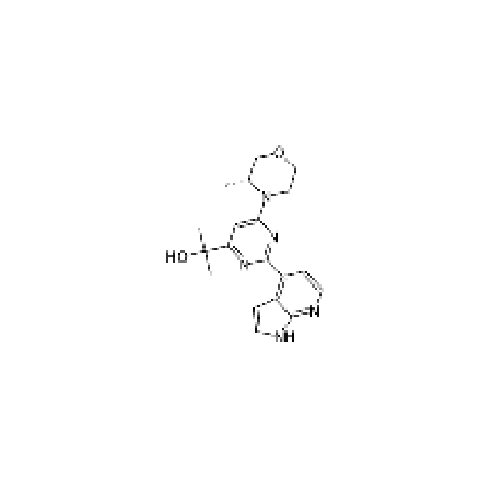 C[C@@H]1COCCN1c1cc(C(C)(C)O)nc(-c2ccnc3[nH]ccc23)n1